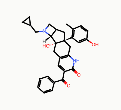 Cc1ccc(O)cc1[C@@]12Cc3[nH]c(=O)c(C(=O)c4ccccc4)cc3C[C@@]1(O)[C@H]1C(CN1CC1CC1)C2